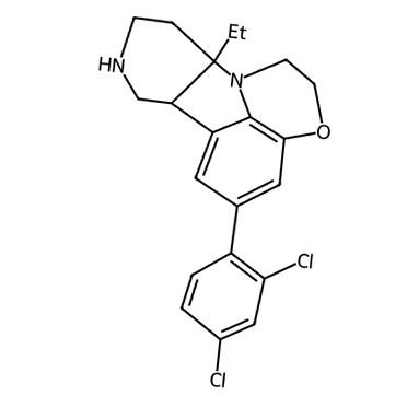 CCC12CCNCC1c1cc(-c3ccc(Cl)cc3Cl)cc3c1N2CCO3